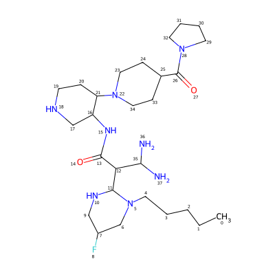 CCCCCN1CC(F)CNC1C(C(=O)NC1CNCCC1N1CCC(C(=O)N2CCCC2)CC1)C(N)N